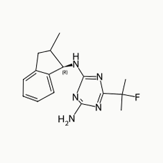 CC1Cc2ccccc2[C@@H]1Nc1nc(N)nc(C(C)(C)F)n1